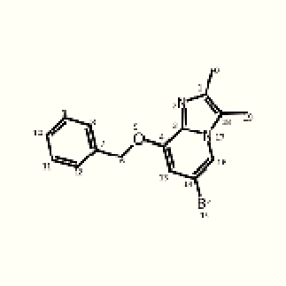 Cc1nc2c(OCc3ccccc3)cc(Br)cn2c1C